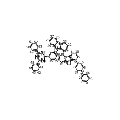 c1ccc(-c2ccc(-c3cccc4c3oc3cccc(-c5cccc6c7ccccc7n(-c7cccc(-c8nc(-c9ccccc9)nc(-c9ccccc9)n8)c7)c56)c34)cc2)cc1